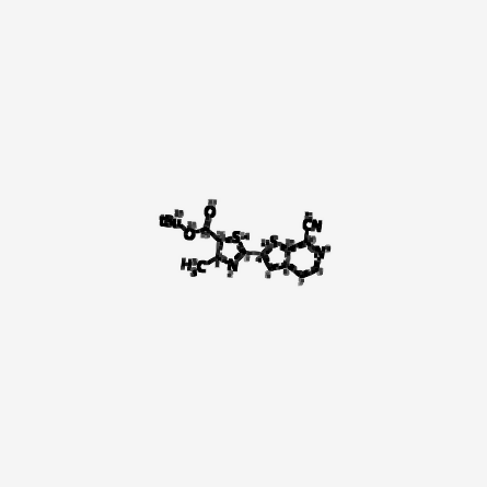 Cc1nc(-c2cc3ccnc(C#N)c3s2)sc1C(=O)OC(C)(C)C